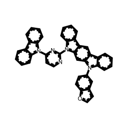 c1ccc2c(c1)c1cc3c4ccccc4n(-c4nccc(-n5c6ccccc6c6ccccc65)n4)c3cc1n2-c1ccc2occc2c1